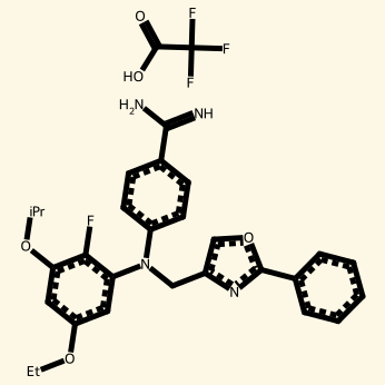 CCOc1cc(OC(C)C)c(F)c(N(Cc2coc(-c3ccccc3)n2)c2ccc(C(=N)N)cc2)c1.O=C(O)C(F)(F)F